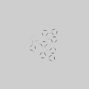 Cc1cc(C)c2c(c1)N(c1cc3c4c(c1)N(c1cccc5oc6ccccc6c15)c1cc(C(C)(C)C)ccc1B4c1ccc(C(C)(C)C)cc1N3c1cccc3oc4ccccc4c13)C1(C)CCCCC21C